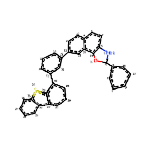 c1ccc(C2Nc3ccc4ccc(-c5cccc(-c6cccc7c6sc6ccccc67)c5)cc4c3O2)cc1